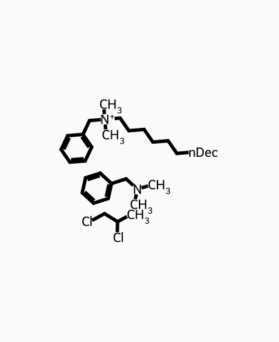 CC(Cl)CCl.CCCCCCCCCCCCCCCC[N+](C)(C)Cc1ccccc1.CN(C)Cc1ccccc1